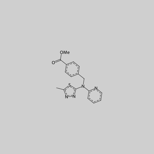 COC(=O)c1ccc(CN(c2ccccn2)c2nnc(C)s2)cc1